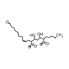 CCCCCC(C(O)CC(O)C(C/C=C\CCCCCCC=O)[N+](=O)[O-])[N+](=O)[O-]